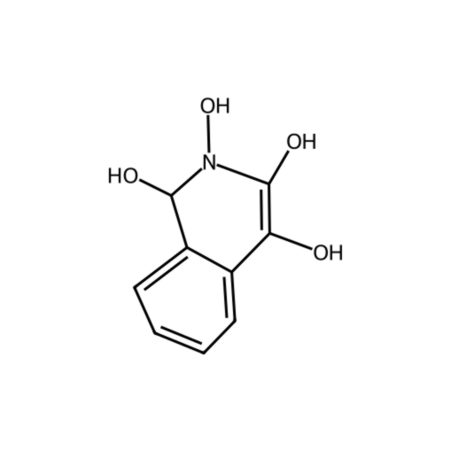 OC1=C(O)N(O)C(O)c2ccccc21